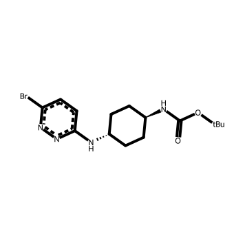 CC(C)(C)OC(=O)N[C@H]1CC[C@H](Nc2ccc(Br)nn2)CC1